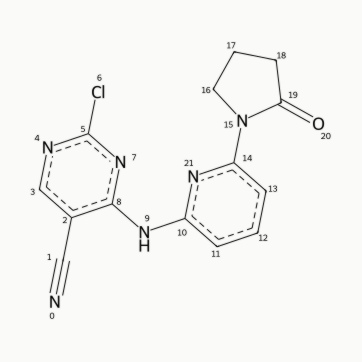 N#Cc1cnc(Cl)nc1Nc1cccc(N2CCCC2=O)n1